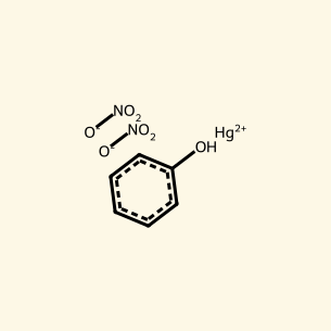 O=[N+]([O-])[O-].O=[N+]([O-])[O-].Oc1ccccc1.[Hg+2]